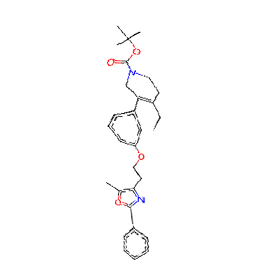 CCC1=C(c2cccc(OCCc3nc(-c4ccccc4)oc3C)c2)CN(C(=O)OC(C)(C)C)CC1